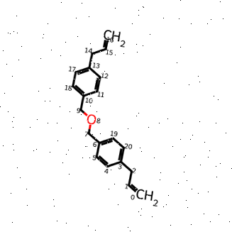 C=CCc1ccc(COCc2ccc(CC=C)cc2)cc1